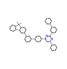 CC1(C)c2ccccc2-c2cc(-c3cccc(-c4ccc(-c5cc(-c6ccccc6)nc(-c6cccc(-c7ccccc7)c6)n5)cc4)c3)ccc21